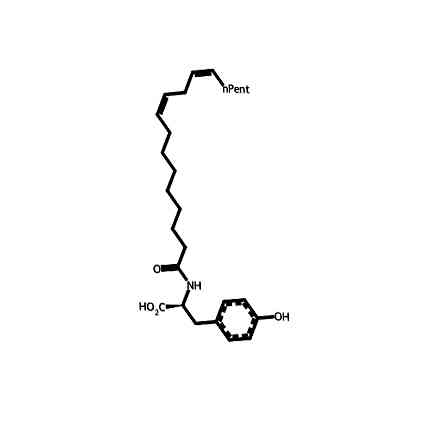 CCCCC/C=C\C/C=C\CCCCCCCC(=O)N[C@@H](Cc1ccc(O)cc1)C(=O)O